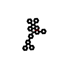 c1ccc(-c2ccc(N(c3ccc(-c4ccc(-c5ccccc5)c(-c5ccccc5)c4)cc3)c3cccc4c(-c5ccccc5)c(-c5ccccc5)c5ccccc5c34)cc2)cc1